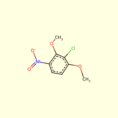 COc1ccc([N+](=O)[O-])c(OC)c1Cl